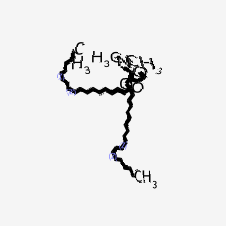 CCCCC/C=C\C/C=C\CCCCCCCCC1(CCCCCCCC/C=C\C/C=C\CCCCC)OC2COC(CN(C)C)C2O1